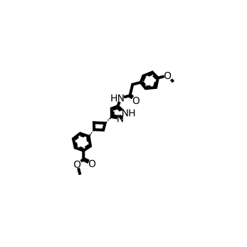 COC(=O)c1cccc([C@H]2C[C@@H](c3cc(NC(=O)Cc4ccc(OC)cc4)[nH]n3)C2)c1